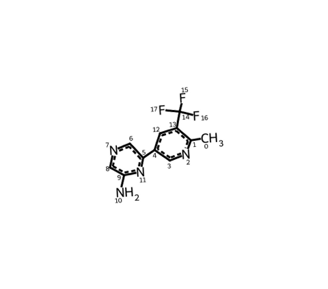 Cc1ncc(-c2cncc(N)n2)cc1C(F)(F)F